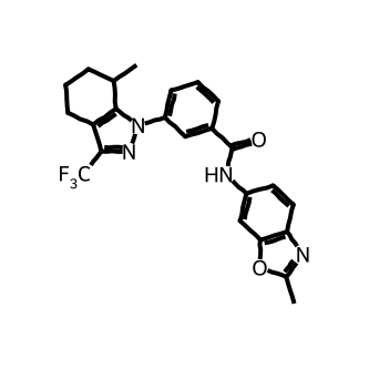 Cc1nc2ccc(NC(=O)c3cccc(-n4nc(C(F)(F)F)c5c4C(C)CCC5)c3)cc2o1